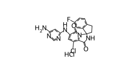 Cl.Nc1cc(Nc2cc(Cl)c3n(c2=O)C2(CCc4ccc(F)cc42)NC3=O)ncn1